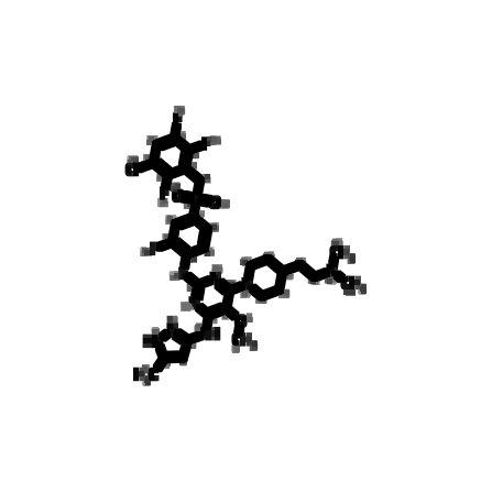 COc1c(Nc2cc(C)[nH]n2)nc(Sc2ccc(S(=O)(=O)Cc3c(F)c(F)cc(Cl)c3F)cc2F)nc1N1CCC(CCN(C)C)CC1